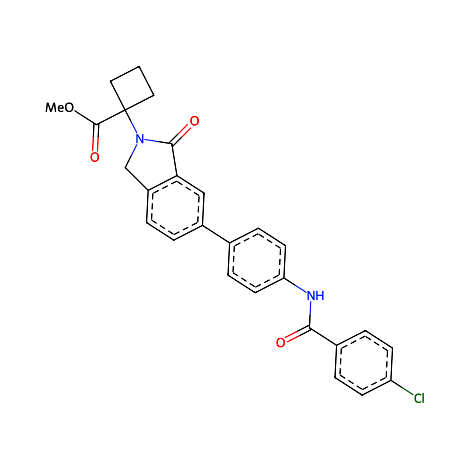 COC(=O)C1(N2Cc3ccc(-c4ccc(NC(=O)c5ccc(Cl)cc5)cc4)cc3C2=O)CCC1